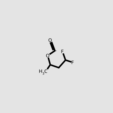 CC(CC(F)F)O[C]=O